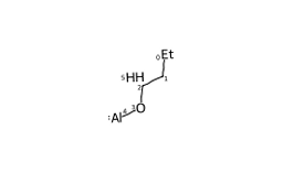 CCCC[O][Al].[HH]